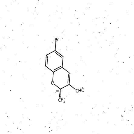 O=CC1=Cc2cc(Br)ccc2O[C@@H]1C(F)(F)F